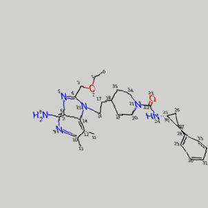 CCOCc1nc2c(N)nc(C)c(C)c2n1CCC1CCN(C(=O)N[C@@H]2C[C@H]2c2ccccc2)CC1